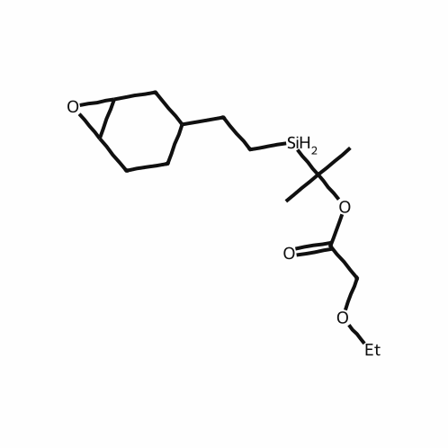 CCOCC(=O)OC(C)(C)[SiH2]CCC1CCC2OC2C1